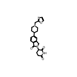 O=C1CCC(N2Cc3cc(C4CCN(Cc5ncco5)CC4)ccc3C2=O)C(=O)N1